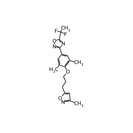 Cc1cc(CCCOc2c(C)cc(-c3noc(C(C)(F)F)n3)cc2C)on1